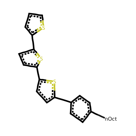 CCCCCCCCc1ccc(-c2ccc(-c3ccc(-c4cccs4)s3)s2)cc1